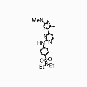 CCN(CC)S(=O)(=O)c1ccc(Nc2nccc(-c3sc(NC)nc3C)n2)cc1